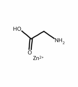 NCC(=O)O.[Zn+2]